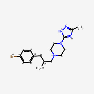 Cc1n[nH]c(N2CCN(CC(C)Cc3ccc(Br)cc3)CC2)n1